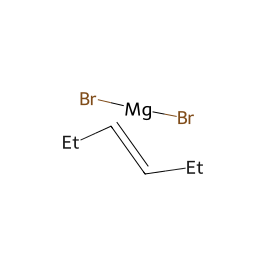 CCC=CCC.[Br][Mg][Br]